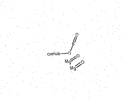 O=BOB=O.[O]=[Mg].[O]=[Mg]